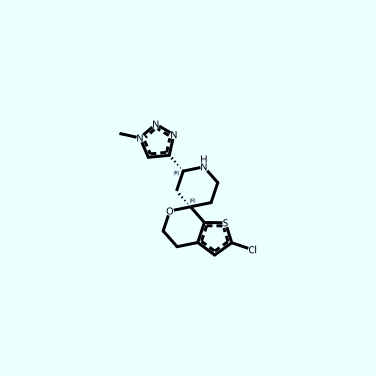 Cn1cc([C@H]2C[C@@]3(CCN2)OCCc2cc(Cl)sc23)nn1